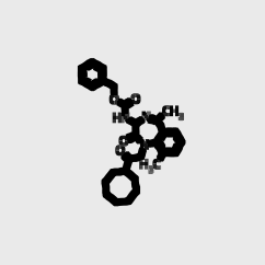 CC1=NC(NC(=O)OCc2ccccc2)C(=O)N(CC(=O)C2CCCCCCC2)c2c(C)cccc21